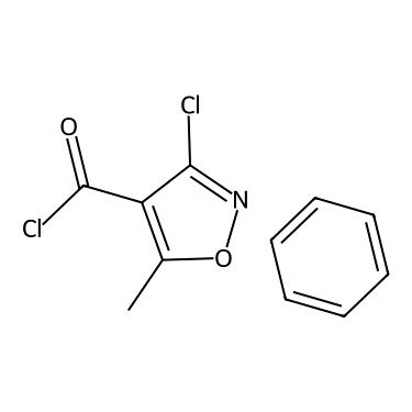 Cc1onc(Cl)c1C(=O)Cl.c1ccccc1